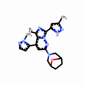 Cc1cc(-c2nc(C)c3c(-c4ccnn4C)cc(N4CC5CCC(C4)O5)nn23)[nH]n1